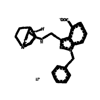 O=C([O-])c1cccc2c1c(CN[C@H]1CN3CCC1CC3)nn2Cc1ccccc1.[Li+]